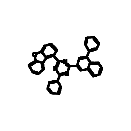 c1ccc(-c2nc(-c3cc(-c4ccccc4)c4ccccc4c3)nc(-c3cccc4oc5ccccc5c34)n2)cc1